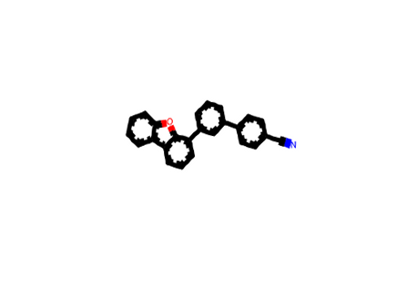 N#Cc1ccc(-c2cccc(-c3cccc4c3oc3ccccc34)c2)cc1